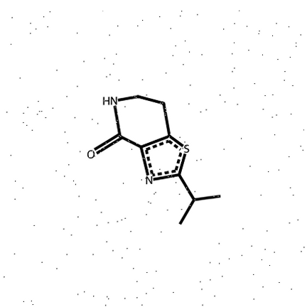 CC(C)c1nc2c(s1)CCNC2=O